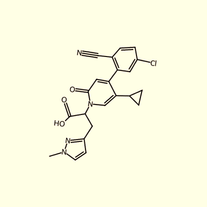 Cn1ccc(CC(C(=O)O)n2cc(C3CC3)c(-c3cc(Cl)ccc3C#N)cc2=O)n1